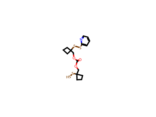 O=C(OCC1(SS)CCC1)OCC1(SSc2ccccn2)CCC1